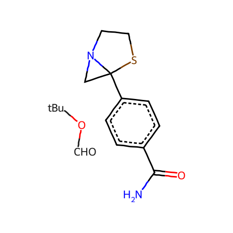 CC(C)(C)OC=O.NC(=O)c1ccc(C23CN2CCS3)cc1